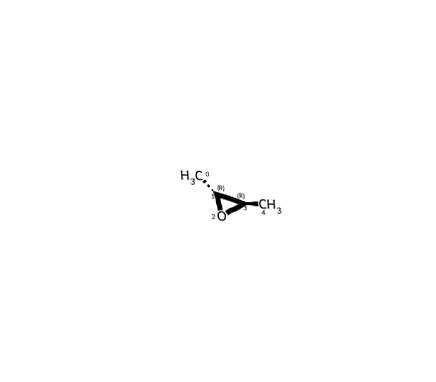 C[C@H]1O[C@@H]1C